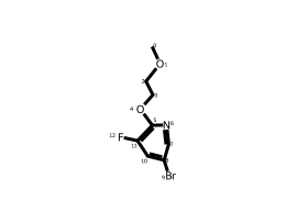 COCCOc1ncc(Br)cc1F